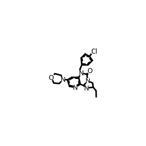 CCC1CN2C(=O)N(Cc3ccc(Cl)cc3)c3cc(N4CCOCC4)cnc3C2=N1